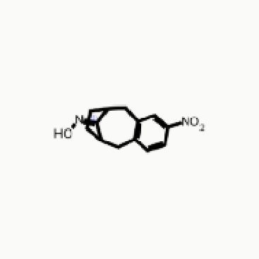 O=[N+]([O-])c1ccc2c(c1)CC1CCC(C2)/C1=N\O